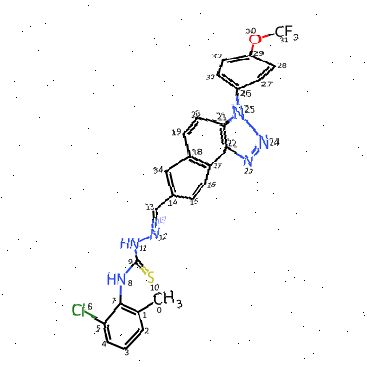 Cc1cccc(Cl)c1NC(=S)N/N=C/c1ccc2c(ccc3c2nnn3-c2ccc(OC(F)(F)F)cc2)c1